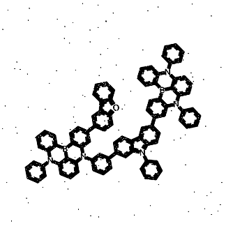 c1ccc(N2c3ccccc3B3c4ccc(-c5ccc6c(c5)c5ccc(-c7cccc(N8c9cc(-c%10ccc%11oc%12ccccc%12c%11c%10)ccc9B9c%10ccccc%10N(c%10ccccc%10)c%10cccc8c%109)c7)cc5n6-c5ccccc5)cc4N(c4ccccc4)c4cccc2c43)cc1